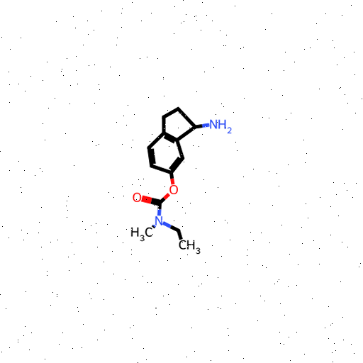 CCN(C)C(=O)Oc1ccc2c(c1)C(N)CC2